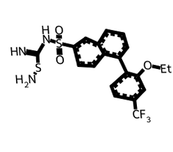 CCOc1cc(C(F)(F)F)ccc1-c1cccc2cc(S(=O)(=O)NC(=N)SN)ccc12